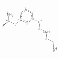 C[C@@H](N)Cc1cccc(OCNCCS)c1